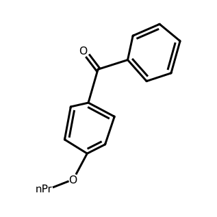 [CH2]CCOc1ccc(C(=O)c2ccccc2)cc1